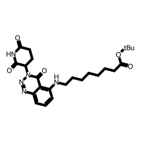 CC(C)(C)OC(=O)CCCCCCCNc1cccc2nnn(C3CCC(=O)NC3=O)c(=O)c12